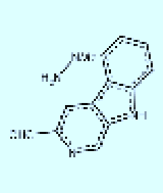 CNN.O=Cc1cc2c(cn1)[nH]c1ccccc12